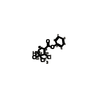 O=C(Oc1ccccc1)C1=C(Cl)C(Cl)(C(F)(F)F)NS1